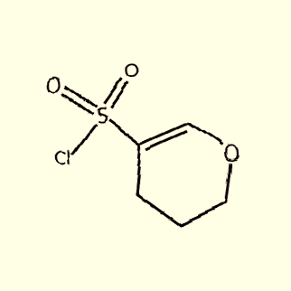 O=S(=O)(Cl)C1=COCCC1